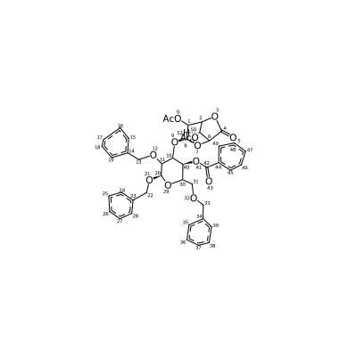 CC(=O)OC1C2OC(=O)C(O[C@H]1OC1C(OCc3ccccc3)[C@H](OCc3ccccc3)OC(COCc3ccccc3)[C@@H]1OC(=O)c1ccccc1)[C@H]2OC(C)=O